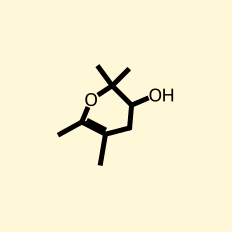 CC1=C(C)OC(C)(C)C(O)C1